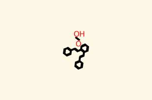 OCCOc1cccc(C=Cc2ccccc2)c1C=Cc1ccccc1